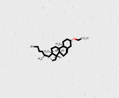 CC(C)CCC[C@@H](C)[C@H]1CC[C@H]2[C@@H]3CC=C4C[C@@H](O[CH]C(=O)O)CC[C@]4(C)[C@H]3CC[C@]12C